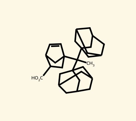 CC(C12C=CC(C1)C(C(=O)O)C2)(C12CC3CC(CC(C3)C1)C2)C12CC3CC(CC(C3)C1)C2